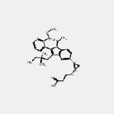 CCn1c(-c2cccnc2[C@H](C)OC)c(CC(C)(C)CO)c2cc([C@@H]3C[C@H]3OCCC(=O)O)ccc21